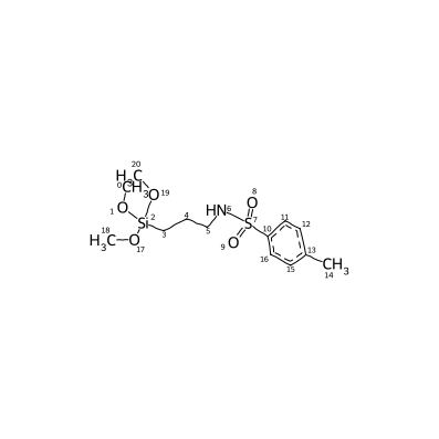 CO[Si](CCCNS(=O)(=O)c1ccc(C)cc1)(OC)OC